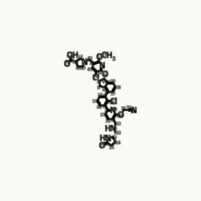 COc1nc(O[C@H]2CCc3c(-c4cccc(-c5ccc(CNC[C@@H]6CCC(=O)N6)c(OCC#N)n5)c4Cl)cccc32)c(Cl)cc1CN1CC[C@@H](C(=O)O)C1